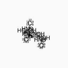 C[C@H](O)[C@@H](NC(=O)c1ccccc1)C(O)(NC(=O)c1ccccc1)c1cnc(C[C@H](O)[C@@H](CO)NC(=O)c2ccccc2)cn1